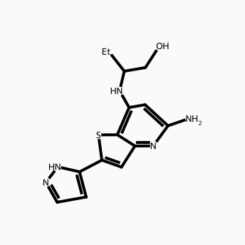 CCC(CO)Nc1cc(N)nc2cc(-c3ccn[nH]3)sc12